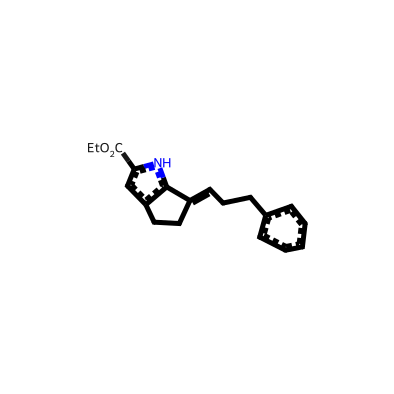 CCOC(=O)c1cc2c([nH]1)C(=CCCc1ccccc1)CC2